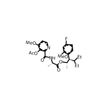 CCC(CC)[C@H](c1ccc(F)cc1OC)[C@H](C)OC(=O)[C@H](C)NC(=O)c1nccc(OC)c1OC(C)=O